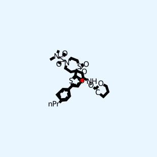 CCCc1ccc(-c2ccc(C3(CC(=O)NOC4CCCCO4)CCN(S(=O)(=O)N(C)C)CCS3(=O)=O)s2)cc1